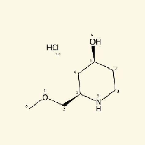 COC[C@H]1C[C@@H](O)CCN1.Cl